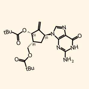 C=C1[C@@H](OC(=O)C(C)(C)C)[C@@H](COC(=O)C(C)(C)C)C[C@@H]1n1cnc2c(=O)[nH]c(N)nc21